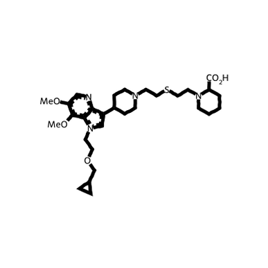 COc1cnc2c(C3CCN(CCSCCN4CCCCC4C(=O)O)CC3)cn(CCOCC3CC3)c2c1OC